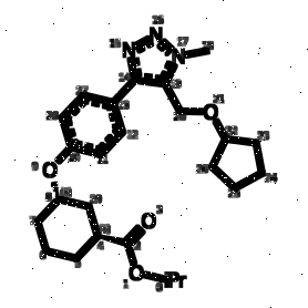 CC(C)OC(=O)[C@H]1CCC[C@H](Oc2ccc(-c3nnn(C)c3COC3CCCC3)cc2)C1